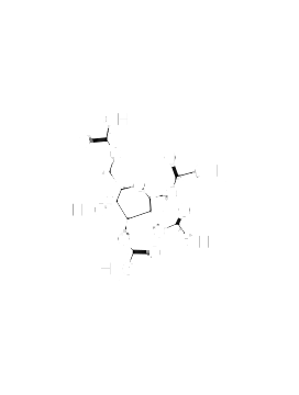 CC(=O)OC[C@H]1O[C@@H](OC(C)=O)[C@H](OC(C)=O)[C@@H](OC(C)=O)[C@@H]1C